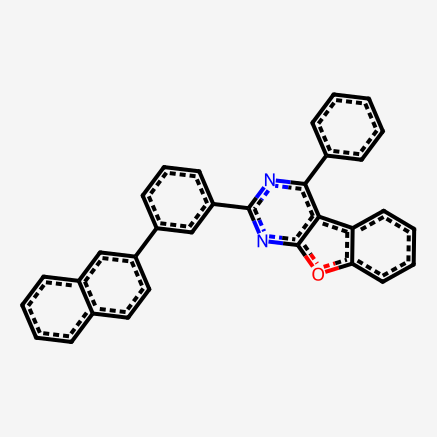 c1ccc(-c2nc(-c3cccc(-c4ccc5ccccc5c4)c3)nc3oc4ccccc4c23)cc1